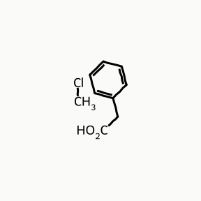 CCl.O=C(O)Cc1ccccc1